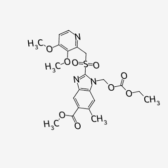 CCOC(=O)OCn1c(S(=O)(=O)Cc2nccc(OC)c2OC)nc2cc(C(=O)OC)c(C)cc21